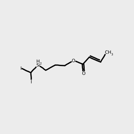 CC=CC(=O)OCCC[SiH2]C(I)I